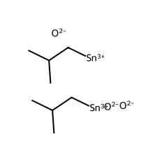 CC(C)[CH2][Sn+3].CC(C)[CH2][Sn+3].[O-2].[O-2].[O-2]